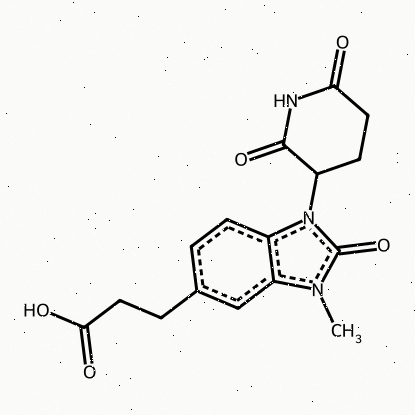 Cn1c(=O)n(C2CCC(=O)NC2=O)c2ccc(CCC(=O)O)cc21